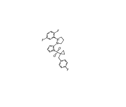 O=S(=O)(n1cccc1N1CCC[C@@H]1c1cc(F)ccc1F)C1(Cc2ccc(F)cc2)CC1